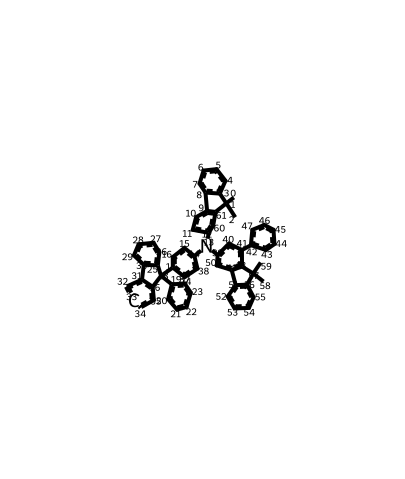 CC1(C)c2ccccc2-c2ccc(N(c3ccc(C4(c5ccccc5)c5ccccc5-c5ccccc54)cc3)c3cc(-c4ccccc4)c4c(c3)-c3ccccc3C4(C)C)cc21